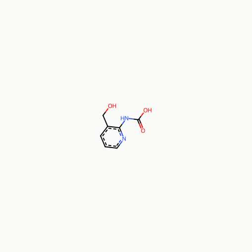 O=C(O)Nc1ncccc1CO